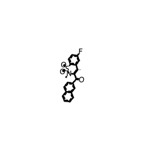 CN1C(C(=O)c2ccc3ccccc3c2)=[C]c2cc(F)ccc2S1(=O)=O